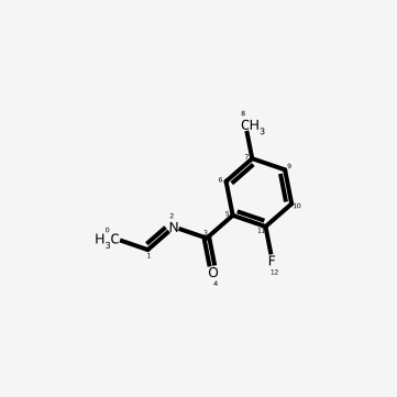 C/C=N/C(=O)c1cc(C)ccc1F